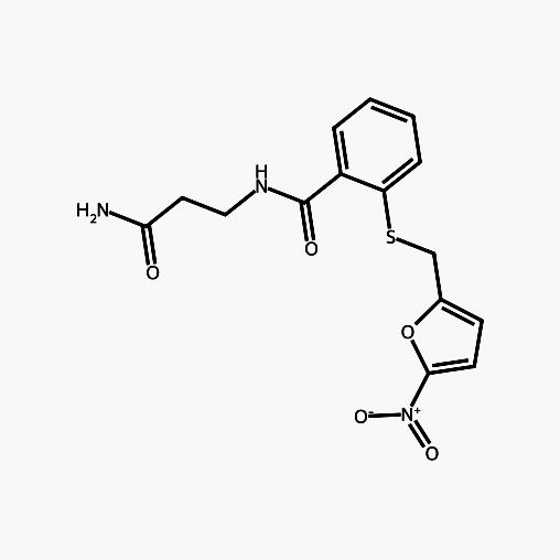 NC(=O)CCNC(=O)c1ccccc1SCc1ccc([N+](=O)[O-])o1